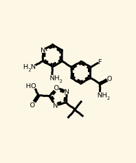 CC(C)(C)c1noc(C(=O)O)n1.NC(=O)c1ccc(-c2ccnc(N)c2N)cc1F